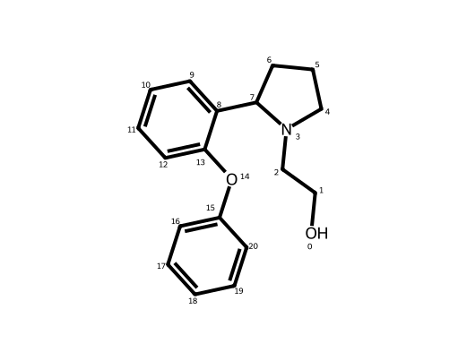 OCCN1CCCC1c1ccccc1Oc1ccccc1